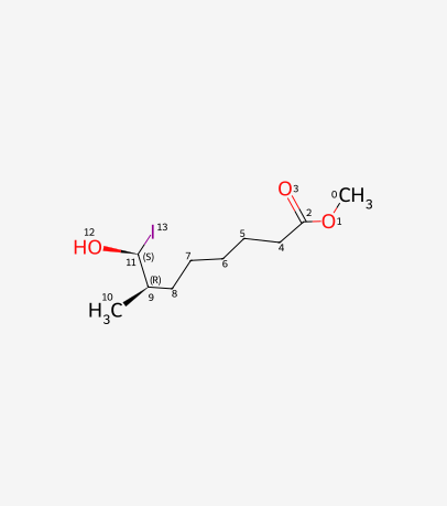 COC(=O)CCCCC[C@@H](C)[C@@H](O)I